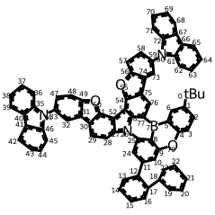 CC(C)(C)c1ccc2c(c1)B1c3c(cc(-c4ccccc4-c4ccccc4)cc3-n3c4ccc5c6cc(-n7c8ccccc8c8ccccc87)ccc6oc5c4c4c5oc6ccc(-n7c8ccccc8c8ccccc87)cc6c5cc1c43)O2